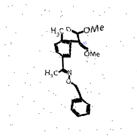 CO/C=C(/C(=O)OC)c1cc(C(C)=NOCc2ccccc2)ccc1C